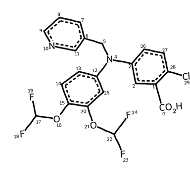 O=C(O)c1cc(N(Cc2cccnc2)c2ccc(OC(F)F)c(OC(F)F)c2)ccc1Cl